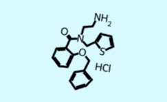 Cl.NCCN(Cc1cccs1)C(=O)c1ccccc1OCc1ccccc1